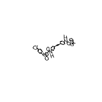 CC(=O)N1CCC[C@H]1C(=O)Nc1ccc(C#Cc2ccc(NC(=O)C3CC(=O)N(Cc4ccc(Cl)cc4)C3)cc2)cc1